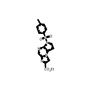 CCOC(=O)c1cn2c(cnc3c2ccn3S(=O)(=O)c2ccc(C)cc2)n1